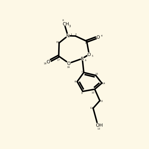 CN1CC(=O)OB(c2ccc(CCO)cc2)OC(=O)C1